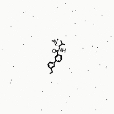 CCc1cccc(-c2cccc(C(=O)N[C@H](CN(C)C)C(C)C)c2)c1